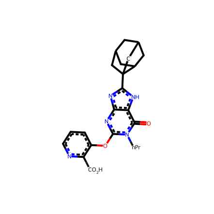 CCCn1c(Oc2cccnc2C(=O)O)nc2nc(C34CC5CC(CC3C5)C4)[nH]c2c1=O